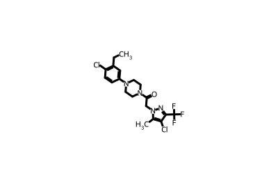 CCc1cc(N2CCN(C(=O)Cn3nc(C(F)(F)F)c(Cl)c3C)CC2)ccc1Cl